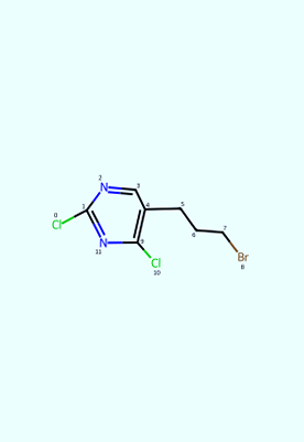 Clc1ncc(CCCBr)c(Cl)n1